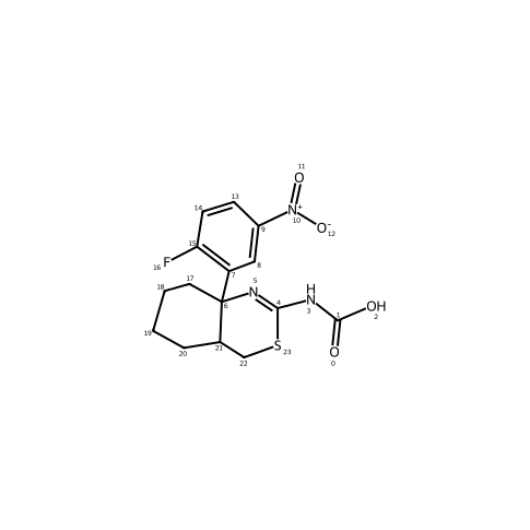 O=C(O)NC1=NC2(c3cc([N+](=O)[O-])ccc3F)CCCCC2CS1